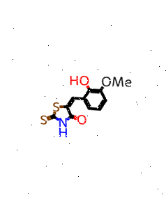 COc1cccc(C=C2SC(=S)NC2=O)c1O